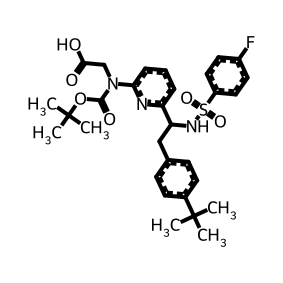 CC(C)(C)OC(=O)N(CC(=O)O)c1cccc(C(Cc2ccc(C(C)(C)C)cc2)NS(=O)(=O)c2ccc(F)cc2)n1